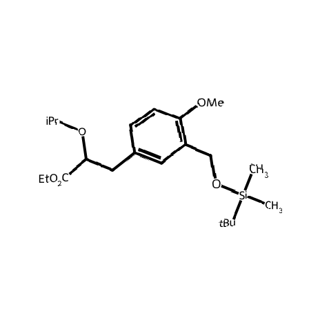 CCOC(=O)C(Cc1ccc(OC)c(CO[Si](C)(C)C(C)(C)C)c1)OC(C)C